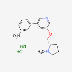 CN1CCC[C@H]1COc1cncc(-c2cccc([N+](=O)[O-])c2)c1.Cl.Cl